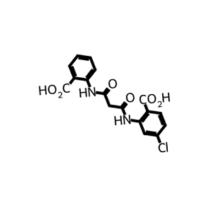 O=C(CC(=O)Nc1cc(Cl)ccc1C(=O)O)Nc1ccccc1C(=O)O